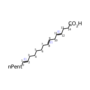 CCCCC/C=C/CCCCC/C=C/C/C=C/CCC(=O)O